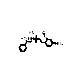 CC(C)(CCC1C=CC(N)=CC1=C=O)NCC(O)c1ccccc1.Cl